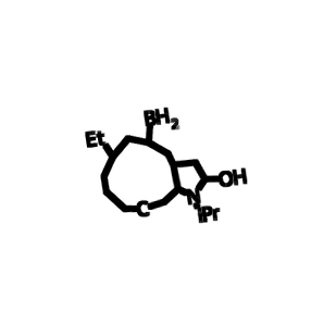 BC1CC(CC)CCCCCC2C(C1)CC(O)N2C(C)C